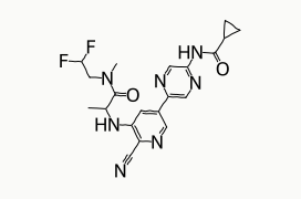 CC(Nc1cc(-c2cnc(NC(=O)C3CC3)cn2)cnc1C#N)C(=O)N(C)CC(F)F